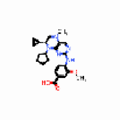 COc1cc(C(=O)O)ccc1Nc1ncc2c(n1)N(C1CCCC1)[C@H](C1CC1)CN2C